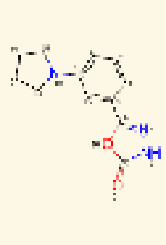 O=c1[nH]nc(-c2cccc(N3C[CH]CC3)c2)o1